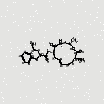 C[C@H]1CNC(=O)[C@@H](CC(=O)N(CCO)Cc2ccccc2)C/C=C/CC[C@H](N)C(=O)O1